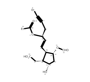 CCC#CC[C@@H](C=C[C@@H]1[C@@H](CC(=O)O)[C@@H](O)C[C@H]1OC=O)OC(=O)CC